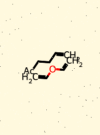 C=CCCC(C)=O.C=COC=C